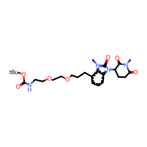 CN1C(=O)CCC(n2c(=O)n(C)c3c(CCCOCCOCCNC(=O)OC(C)(C)C)cccc32)C1=O